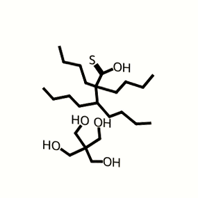 CCCCC(CCCC)C(CCCC)(CCCC)C(O)=S.OCC(CO)(CO)CO